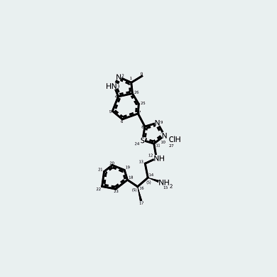 Cc1n[nH]c2ccc(-c3nnc(NC[C@@H](N)[C@@H](C)c4ccccc4)s3)cc12.Cl